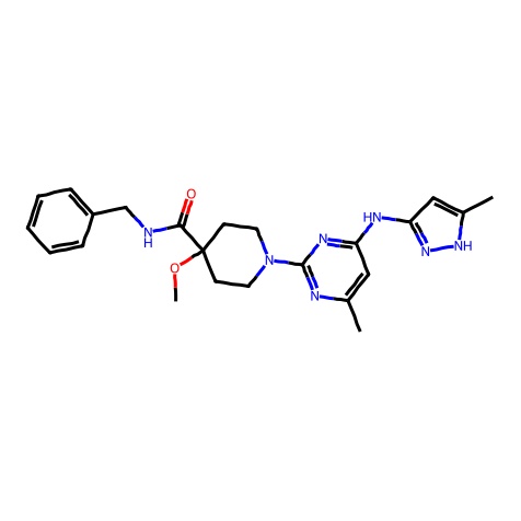 COC1(C(=O)NCc2ccccc2)CCN(c2nc(C)cc(Nc3cc(C)[nH]n3)n2)CC1